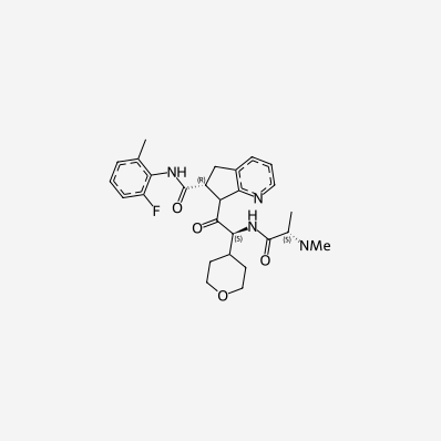 CN[C@@H](C)C(=O)N[C@H](C(=O)C1c2ncccc2C[C@H]1C(=O)Nc1c(C)cccc1F)C1CCOCC1